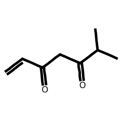 C=CC(=O)CC(=O)C(C)C